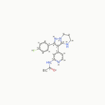 CCC(=O)Nc1cc(-c2c(-c3ccc(F)cc3)nn3c2NCCC3)ccn1